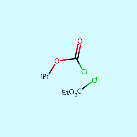 CC(C)OC(=O)Cl.CCOC(=O)Cl